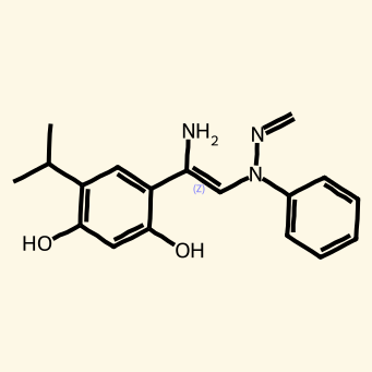 C=NN(/C=C(\N)c1cc(C(C)C)c(O)cc1O)c1ccccc1